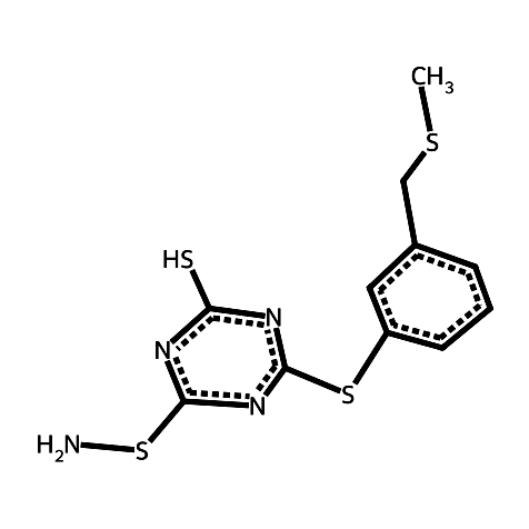 CSCc1cccc(Sc2nc(S)nc(SN)n2)c1